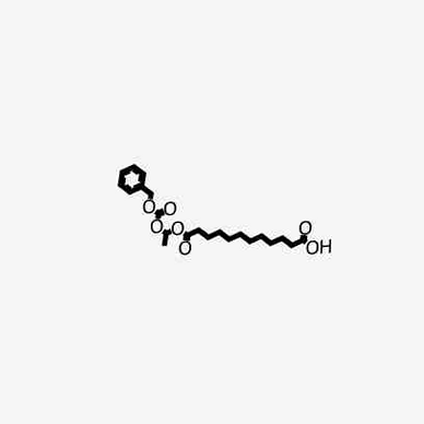 CC(OC(=O)CCCCCCCCCCC(=O)O)OC(=O)OCc1ccccc1